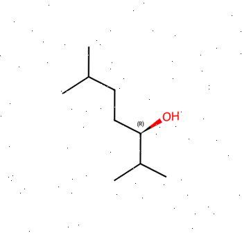 CC(C)CC[C@@H](O)C(C)C